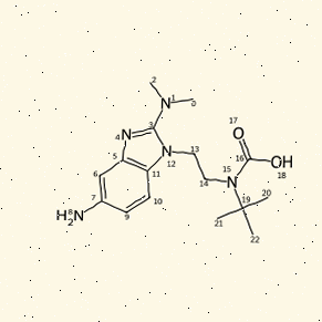 CN(C)c1nc2cc(N)ccc2n1CCN(C(=O)O)C(C)(C)C